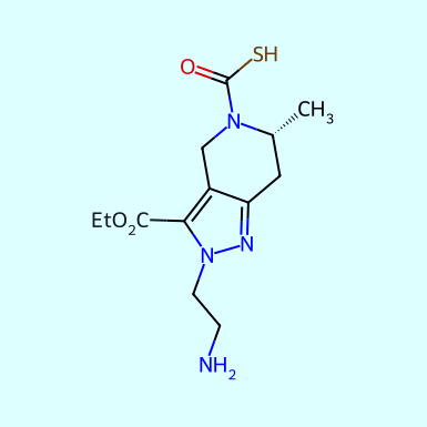 CCOC(=O)c1c2c(nn1CCN)C[C@@H](C)N(C(=O)S)C2